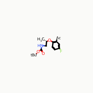 CC(=O)c1cc(F)ccc1O[C@@H](C)CNC(=O)OC(C)(C)C